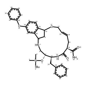 CC(C)(C)[Si](C)(C)O[C@@H]1CNC2CC(OC/C=C/C[C@@H](C(N)=O)C(=O)N[C@H]1Cc1ccccc1)c1ccc(Oc3ccccc3)cc12